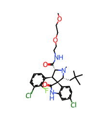 COCCOCCNC(=O)[C@H]1[C@H](c2cccc(Cl)c2F)[C@@]2(C(=O)Nc3cc(Cl)ccc32)[C@@H](CC(C)(C)C)N1C